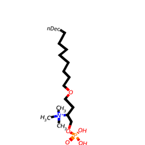 CCCCCCCCCCCCCCCCCCOCCC(COP(=O)(O)O)[N+](C)(C)C